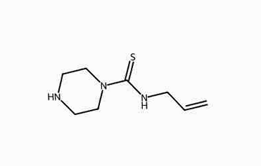 C=CCNC(=S)N1CCNCC1